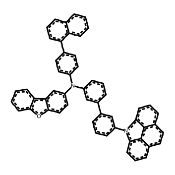 c1cc(-c2cccc(-n3c4cccc5ccc6cccc3c6c54)c2)cc(N(c2ccc(-c3cccc4ccccc34)cc2)c2ccc3oc4ccccc4c3c2)c1